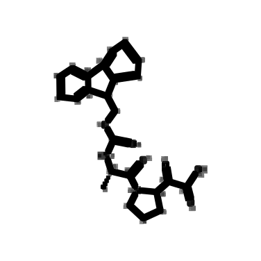 C[C@H](NC(=O)OCC1c2ccccc2-c2ccccc21)C(=O)N1CCCC1C(=O)C(=O)O